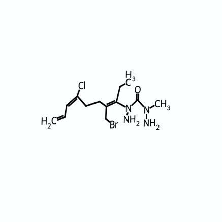 C=C/C=C(/Cl)CC/C(CBr)=C(\CC)N(N)C(=O)N(C)N